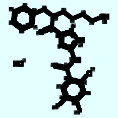 Cl.O=C(Nc1cc(C(=O)N(CCCCO)Cc2ccccc2)n[nH]1)c1cc(F)c(F)cc1Cl